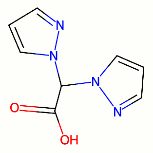 O=C(O)C(n1cccn1)n1cccn1